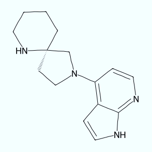 c1cc(N2CC[C@]3(CCCCN3)C2)c2cc[nH]c2n1